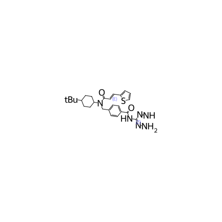 CC(C)(C)C1CCC(N(Cc2ccc(C(=O)N/C(N=N)=N/N)cc2)C(=O)/C=C/c2cccs2)CC1